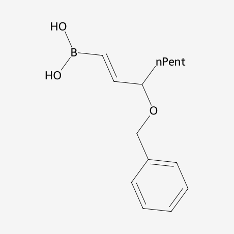 CCCCCC(C=CB(O)O)OCc1ccccc1